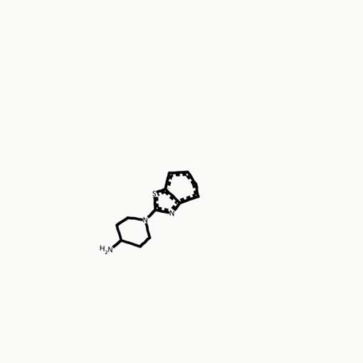 NC1CCN(c2nc3ccccc3s2)CC1